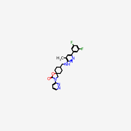 Cc1cc(-c2cc(F)cc(F)c2)nnc1NCC1CCC2(CC1)CN(c1cccnn1)C(=O)O2